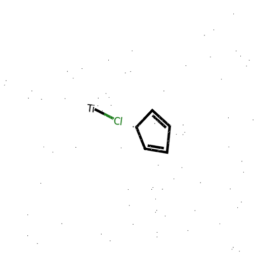 [CH]1C=CC=C1.[Cl][Ti]